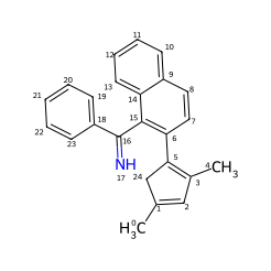 CC1=CC(C)=C(c2ccc3ccccc3c2C(=N)c2ccccc2)C1